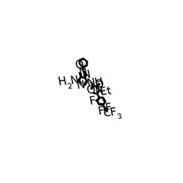 CCN(C(=O)C(=O)Nc1cnc(N)c2cn(C3CCCCO3)nc12)C(C)c1ccc(C(F)(F)C(F)(F)F)cc1F